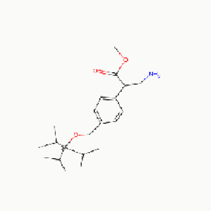 COC(=O)C(CN)c1ccc(CO[Si](C(C)C)(C(C)C)C(C)C)cc1